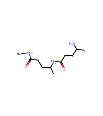 CCC(C)NC(=O)CCC(C)NC(=O)CCC(C)N